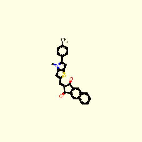 Cn1c(-c2ccc(C(F)(F)F)cc2)cc2sc(C=C3C(=O)c4cc5ccccc5cc4C3=O)cc21